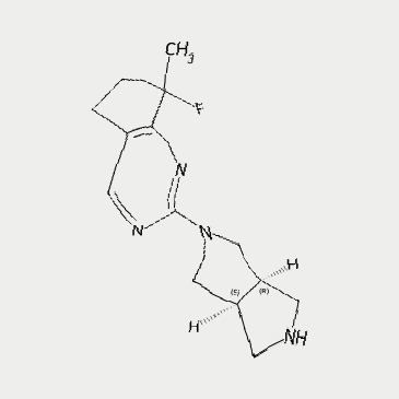 CC1(F)CCc2cnc(N3C[C@H]4CNC[C@H]4C3)nc21